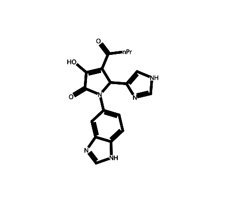 CCCC(=O)C1=C(O)C(=O)N(c2ccc3[nH]cnc3c2)C1c1c[nH]cn1